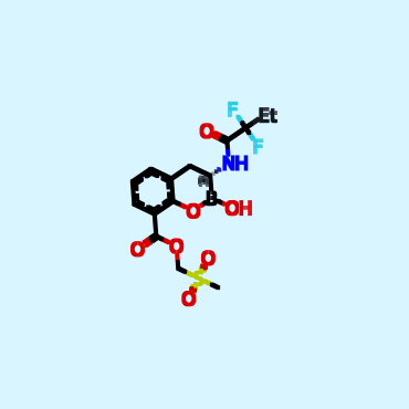 CCC(F)(F)C(=O)N[C@H]1Cc2cccc(C(=O)OCS(C)(=O)=O)c2OB1O